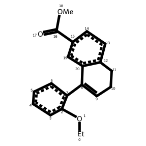 CCOc1ccccc1C1=CCCc2ccc(C(=O)OC)cc21